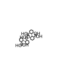 OB(O)c1ccccc1-c1ccccc1B(O)OB(O)c1ccccc1-c1ccccc1B(O)O